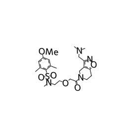 COc1cc(C)c(S(=O)(=O)N(C)CCOCC(=O)N2CCc3onc(CN(C)C)c3C2)c(C)c1